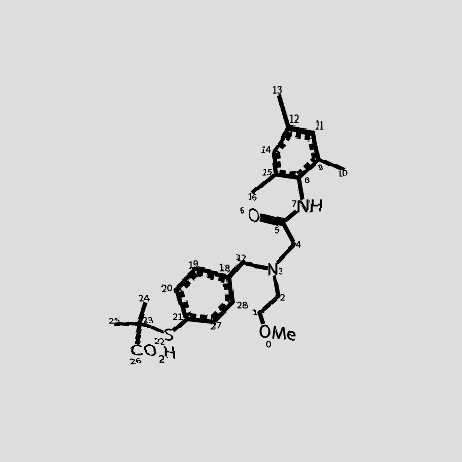 COCCN(CC(=O)Nc1c(C)cc(C)cc1C)Cc1ccc(SC(C)(C)C(=O)O)cc1